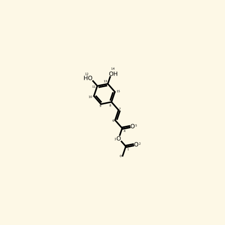 CC(=O)OC(=O)/C=C/c1ccc(O)c(O)c1